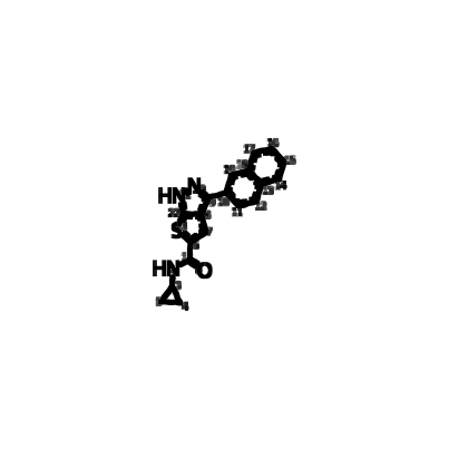 O=C(NC1CC1)c1cc2c(-c3ccc4ccccc4c3)n[nH]c2s1